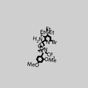 CCS(CC)(CC)c1cc(Br)nc([C@@](C)(N)CS(=O)(=NCC(F)(F)F)N(C)Cc2ccc(OC)cc2OC)c1F